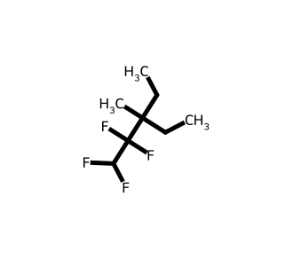 CCC(C)(CC)C(F)(F)C(F)F